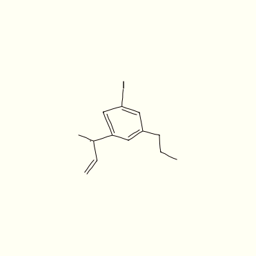 C=C[C](C)c1cc(I)cc(CCC)c1